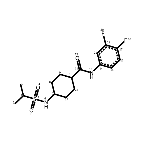 CC(C)S(=O)(=O)NC1CCC(C(=O)Nc2ccc(F)c(F)c2)CC1